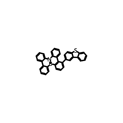 c1ccc2c(c1)B1c3cccc(-c4ccc5sc6ccccc6c5c4)c3-c3ccccc3N1c1ccccc1-2